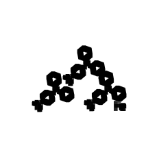 CN(C)c1ccc(P(c2ccccc2)c2ccccc2)cc1.CN(C)c1ccc(P(c2ccccc2)c2ccccc2)cc1.CN(C)c1ccc(P(c2ccccc2)c2ccccc2)cc1.[Fe]